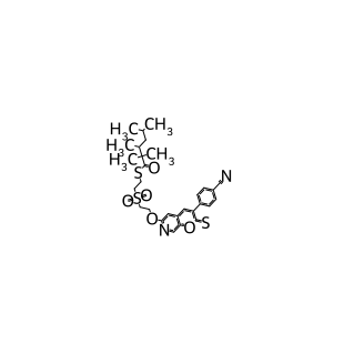 CC(C)CC(C)C(C)(C)C(=O)SCCS(=O)(=O)CCOc1cc2cc(-c3ccc(C#N)cc3)c(=S)oc2cn1